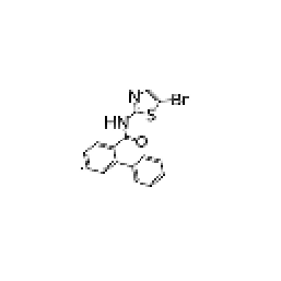 O=C(Nc1ncc(Br)s1)c1cc[c]cc1-c1ccccc1